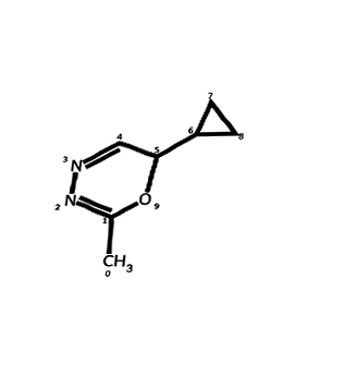 CC1=NN=CC(C2CC2)O1